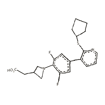 O=C(O)CC1CN(c2c(F)cc(-c3cccnc3SC3CCCC3)cc2F)C1